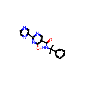 CC(C)(NC(=O)c1cnc(-c2cnccn2)nc1O)c1ccccc1